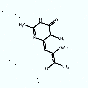 CC/C(C)=C(\C=C1\N=C(C)NC(=O)C1C)OC